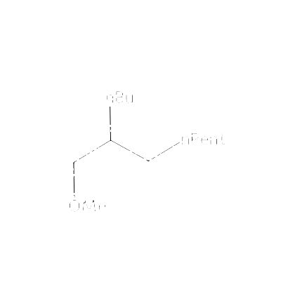 [CH2]OCC(CCCC)CCCCCC